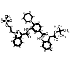 CC(C)(C)OC(=O)Cc1cc(F)ccc1NC(=O)c1ccc(N2CCCCC2)c(NC(=O)c2nn(CCOS(C)(=O)=O)c3ccccc23)c1